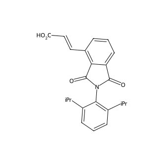 CC(C)c1cccc(C(C)C)c1N1C(=O)c2cccc(/C=C/C(=O)O)c2C1=O